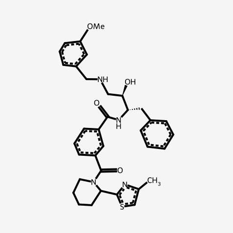 COc1cccc(CNC[C@@H](O)[C@H](Cc2ccccc2)NC(=O)c2cccc(C(=O)N3CCCCC3c3nc(C)cs3)c2)c1